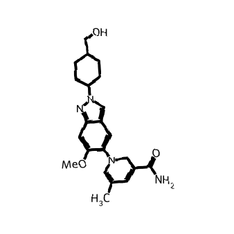 COc1cc2nn(C3CCC(CO)CC3)cc2cc1N1C=C(C)C=C(C(N)=O)C1